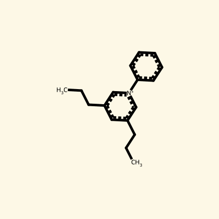 CCCc1cc(CCC)c[n+](-c2ccccc2)c1